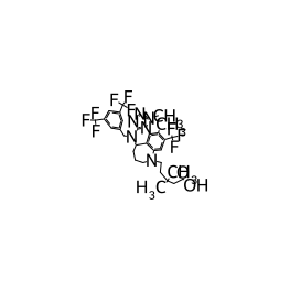 Cc1cc2c(cc1C(F)(F)F)N(CCC(C)(C)CC(=O)O)CCCC2N(Cc1cc(C(F)(F)F)cc(C(F)(F)F)c1)c1nnn(C)n1